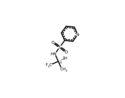 [2H][C@@](C)(NS(=O)(=O)c1cccnc1)C(F)(F)F